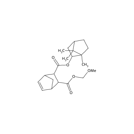 COCOC(=O)C1C2C=CC(C2)C1C(=O)OC1CC2CCC1(C)C2(C)C